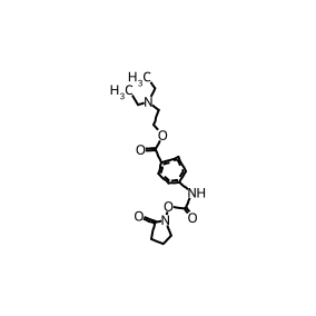 CCN(CC)CCOC(=O)c1ccc(NC(=O)ON2CCCC2=O)cc1